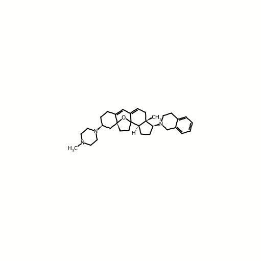 CN1CCN([C@H]2CCC3=CC4=CC[C@]5(C)[C@@H](N6CCc7ccccc7C6)CC[C@H]5C45CC[C@]3(C2)O5)CC1